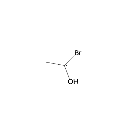 C[C](O)Br